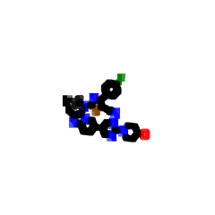 CCc1nc2ccc(-c3cnc(N4CCC(=O)CC4)nc3)cn2c1N(C)c1nc(-c2ccc(F)cc2)c(C#N)s1